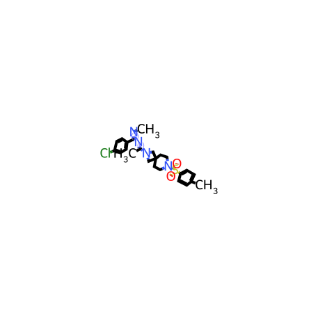 C/N=C(\N=C(/C)N1CC2(CCN(S(=O)(=O)c3ccc(C)cc3)CC2)C1)c1ccc(Cl)cc1